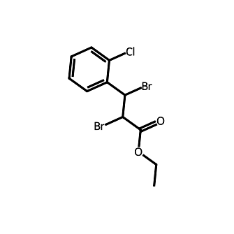 CCOC(=O)C(Br)C(Br)c1ccccc1Cl